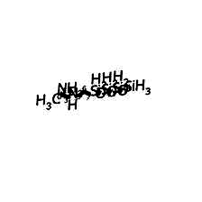 CC(N)CNCCC[SiH2]O[SiH2]O[SiH2]O[SiH3]